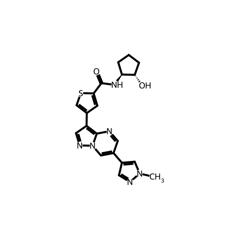 Cn1cc(-c2cnc3c(-c4csc(C(=O)N[C@H]5CCC[C@@H]5O)c4)cnn3c2)cn1